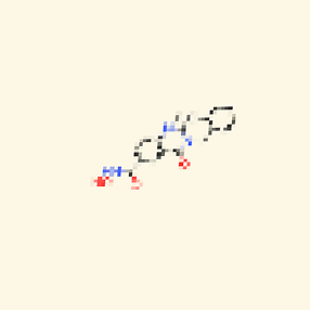 O=C(NO)c1ccc2ncn(Cc3ccccc3C(F)(F)F)c(=O)c2c1